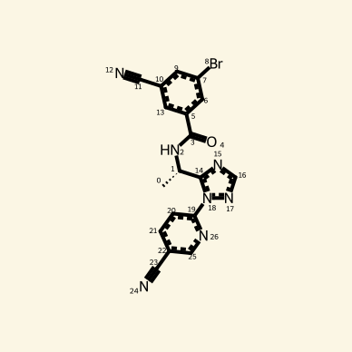 C[C@H](NC(=O)c1cc(Br)cc(C#N)c1)c1ncnn1-c1ccc(C#N)cn1